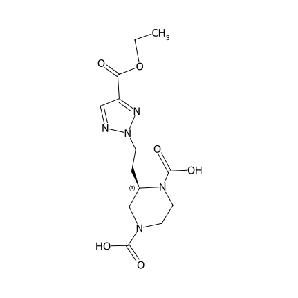 CCOC(=O)c1cnn(CC[C@@H]2CN(C(=O)O)CCN2C(=O)O)n1